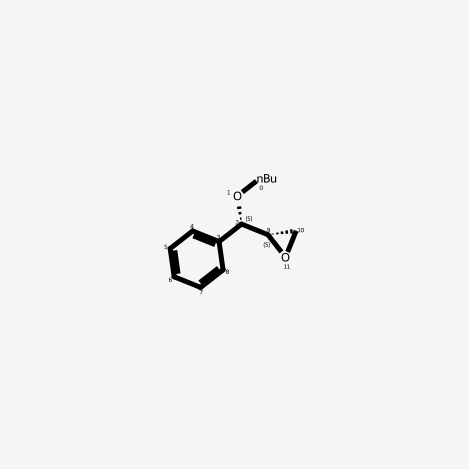 CCCCO[C@@H](c1ccccc1)[C@@H]1CO1